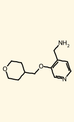 NCc1ccncc1OCC1CCOCC1